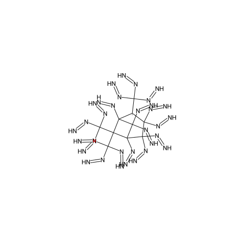 N=NC(N=N)(N=N)[C]1C(N=N)(N=N)C(N=N)(N=N)C2(N=N)C(N=N)(N=N)C1(N=N)C2(C(N=N)(N=N)N=N)C(N=N)(N=N)N=N